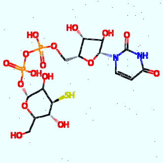 O=c1ccn([C@@H]2O[C@H](COP(=O)(O)OP(=O)(O)O[C@H]3OC(CO)[C@@H](O)[C@H](S)C3O)[C@H](O)C2O)c(=O)[nH]1